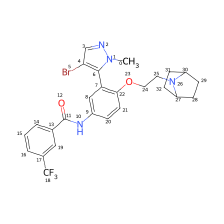 Cn1ncc(Br)c1-c1cc(NC(=O)c2cccc(C(F)(F)F)c2)ccc1OCCN1C2CCC1CC2